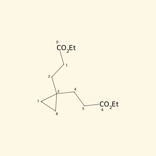 CCOC(=O)CCC1(CCC(=O)OCC)CC1